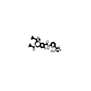 CC(C)n1cnnc1-c1cccc(NC(=O)c2cc3c(cc2F)CN(C(=O)C2CC2)Cc2c(C4CC4)ncn2-3)n1